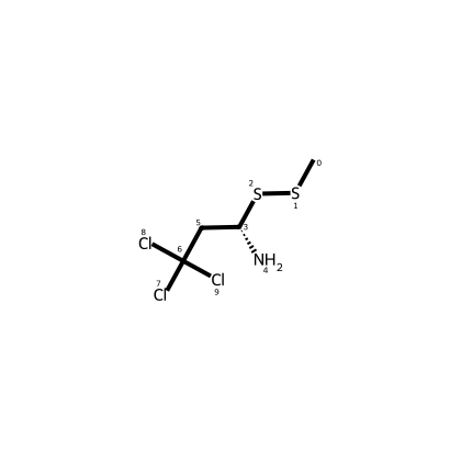 CSS[C@H](N)CC(Cl)(Cl)Cl